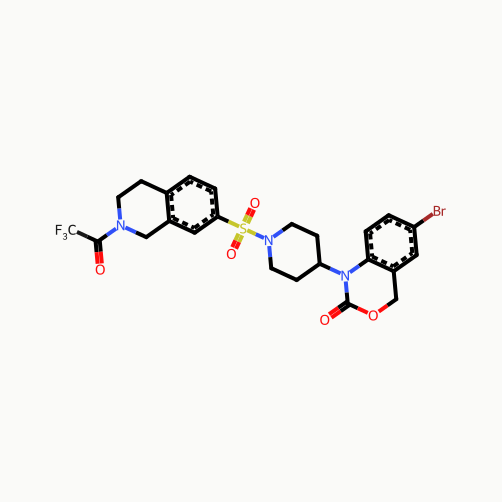 O=C1OCc2cc(Br)ccc2N1C1CCN(S(=O)(=O)c2ccc3c(c2)CN(C(=O)C(F)(F)F)CC3)CC1